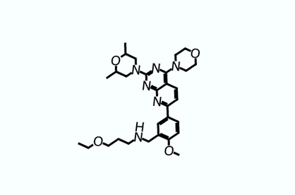 CCOCCCNCc1cc(-c2ccc3c(N4CCOCC4)nc(N4CC(C)OC(C)C4)nc3n2)ccc1OC